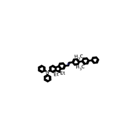 CCC1(CC)c2cc(/C=C/c3ccc(-c4c(C)cc(-c5ccccc5)cc4C)cc3)ccc2-c2ccc(N(c3ccccc3)c3ccccc3)cc21